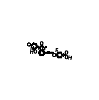 Cn1c(=O)n(C2CCC(=O)NC2=O)c2cccc(C#CCO[C@@H]3CCN(C(=O)O)C[C@H]3F)c21